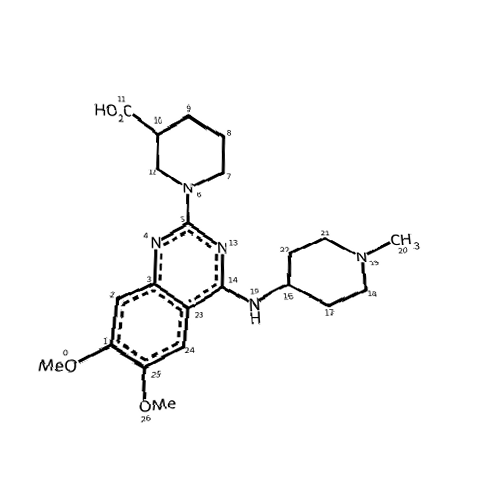 COc1cc2nc(N3CCCC(C(=O)O)C3)nc(NC3CCN(C)CC3)c2cc1OC